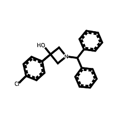 OC1(c2ccc(Cl)cc2)CN(C(c2ccccc2)c2ccccc2)C1